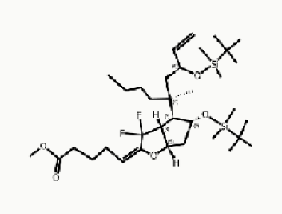 C=C[C@H](C[C@](C)(CCCC)[C@@H]1[C@@H]2[C@H](C[C@H]1O[Si](C)(C)C(C)(C)C)OC(=CCCCC(=O)OC)C2(F)F)O[Si](C)(C)C(C)(C)C